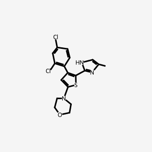 Cc1c[nH]c(-c2sc(N3CCOCC3)cc2-c2ccc(Cl)cc2Cl)n1